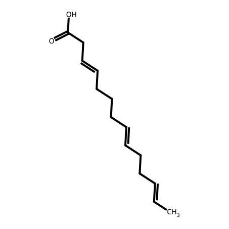 C/C=C/CC/C=C/CCC/C=C/CC(=O)O